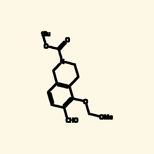 COCOc1c(C=O)ccc2c1CCN(C(=O)OC(C)(C)C)C2